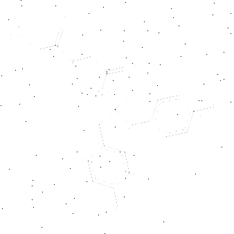 C[C@@H](NC(=O)OC(C)(C)C)C(=O)NC(C)(Cc1ccc(F)cc1)Cc1ccc(F)cc1